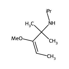 CC=C(OC)C(C)(C)NC(C)C